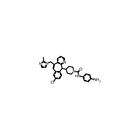 Cc1nccn1CC1=Cc2cc(Cl)ccc2C(C2CCN(C(=O)Nc3ccc(N)cc3)CC2)c2ncccc21